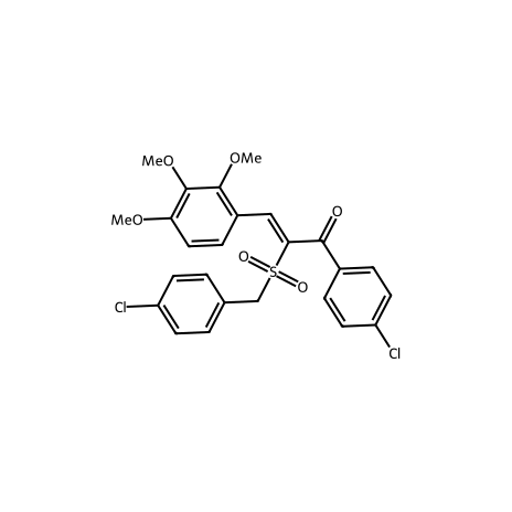 COc1ccc(C=C(C(=O)c2ccc(Cl)cc2)S(=O)(=O)Cc2ccc(Cl)cc2)c(OC)c1OC